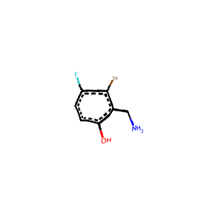 NCc1c(O)ccc(F)c1Br